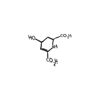 O=C(O)C1=CC(O)CC(C(=O)O)N1